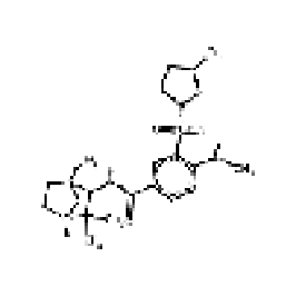 CNc1ccc(C(=O)NC2C(C)(C)[C@@H]3CC[C@@]2(C)C3)cc1S(=O)(=O)N1CCC(O)C1